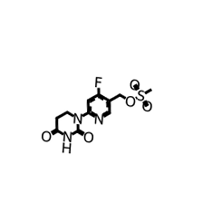 CS(=O)(=O)OCc1cnc(N2CCC(=O)NC2=O)cc1F